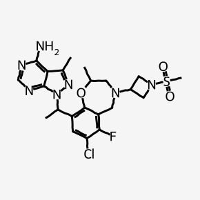 Cc1nn(C(C)c2cc(Cl)c(F)c3c2OC(C)CN(C2CN(S(C)(=O)=O)C2)C3)c2ncnc(N)c12